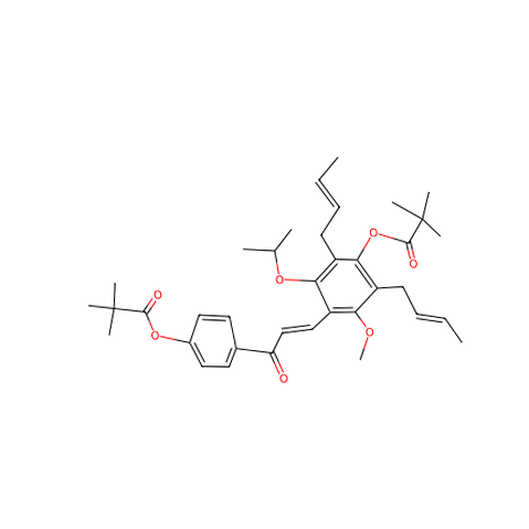 CC=CCc1c(OC)c(C=CC(=O)c2ccc(OC(=O)C(C)(C)C)cc2)c(OC(C)C)c(CC=CC)c1OC(=O)C(C)(C)C